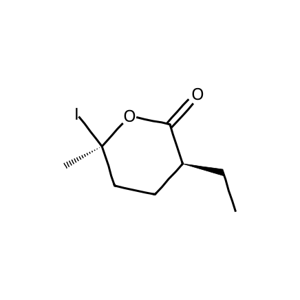 CC[C@H]1CC[C@@](C)(I)OC1=O